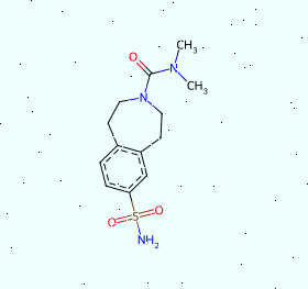 CN(C)C(=O)N1CCc2ccc(S(N)(=O)=O)cc2CC1